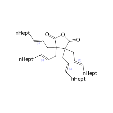 CCCCCCC/C=C/CC1(C/C=C/CCCCCCC)C(=O)OC(=O)C1(C/C=C/CCCCCCC)C/C=C/CCCCCCC